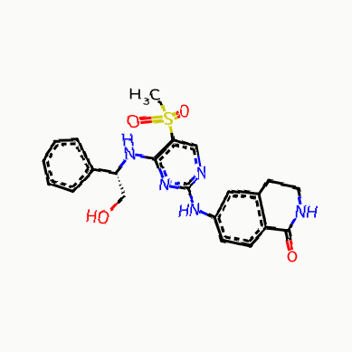 CS(=O)(=O)c1cnc(Nc2ccc3c(c2)CCNC3=O)nc1N[C@H](CO)c1ccccc1